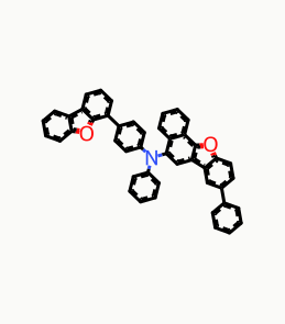 c1ccc(-c2ccc3oc4c5ccccc5c(N(c5ccccc5)c5ccc(-c6cccc7c6oc6ccccc67)cc5)cc4c3c2)cc1